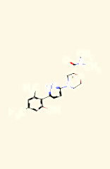 Cc1cc(C)c(-c2ccc(N3CCO[C@@H](C(=O)N(C)C)C3)nn2)c(O)c1